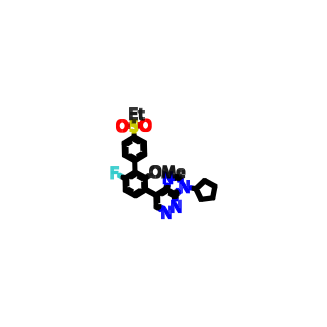 CCS(=O)(=O)c1ccc(-c2c(F)ccc(-c3cnnc4c3ncn4C3CCCC3)c2OC)cc1